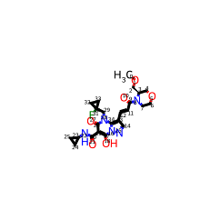 COC[C@H]1COCCN1C(=O)/C=C/c1cnn2c(O)c(C(=O)NC3CC3)c(=O)n(CC3(F)CC3)c12